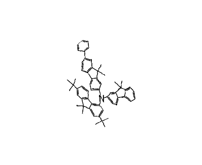 CC(C)(C)c1ccc2c(c1)C(C)(C)c1cc(C(C)(C)C)cc(N(c3ccc4c(c3)C(C)(C)c3ccccc3-4)c3ccc4c(c3)C(C)(C)c3cc(-c5ccccc5)ccc3-4)c1-2